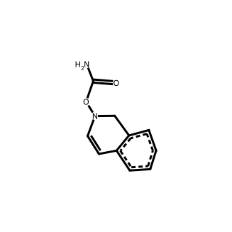 NC(=O)ON1C=Cc2ccccc2C1